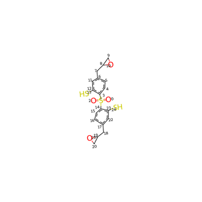 O=S(=O)(c1ccc(CC2CO2)cc1S)c1ccc(CC2CO2)cc1S